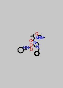 CN[C@@H](C)C(=O)N[C@H](C(=O)N1CCN(Cc2ccccc2)C[C@@H]1OC(=O)NCC1CCCCCC1)C(C)C